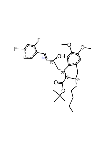 CCCCC[C@H]1Cc2cc(OC)c(OC)cc2[C@@H](C[C@H](O)/C=C/c2ccc(F)cc2F)N1C(=O)OC(C)(C)C